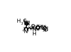 Cn1cc(-c2ccncc2C=CC(=O)Nc2ccc(CN3CCOCC3)cc2)cn1